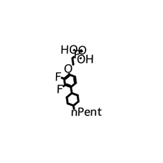 CCCCCC1CCC(c2ccc(OCCP(=O)(O)O)c(F)c2F)CC1